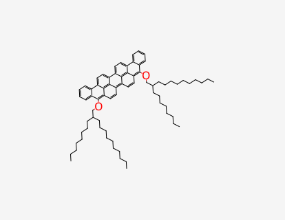 CCCCCCCCCCC(CCCCCCCC)COc1c2ccccc2c2ccc3c4ccc5c6ccccc6c(OCC(CCCCCCCC)CCCCCCCCCC)c6ccc(c7ccc1c2c73)c4c65